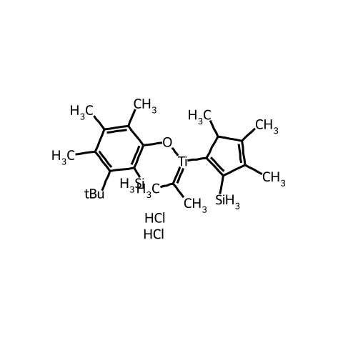 CC1=C(C)C(C)[C]([Ti]([O]c2c(C)c(C)c(C)c(C(C)(C)C)c2[SiH3])=[C](C)C)=C1[SiH3].Cl.Cl